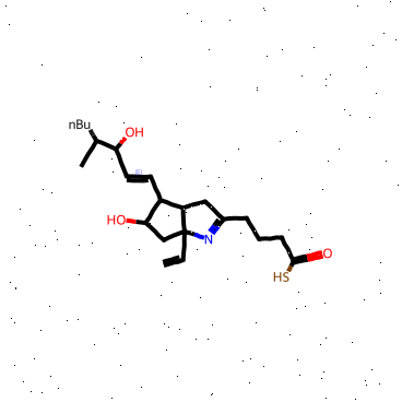 C=CC12CC(O)C(/C=C/C(O)C(C)CCCC)C1CC(CCCC(=O)S)=N2